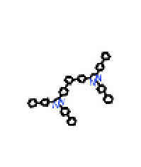 c1ccc(-c2ccc(-c3cc(-c4ccc(-c5cccc(-c6ccc(-c7cc(-c8ccc(-c9ccccc9)cc8)nc(-c8ccc(-c9ccccc9)cc8)n7)cc6)c5)cc4)nc(-c4ccc(-c5ccccc5)cc4)n3)cc2)cc1